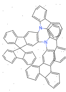 c1ccc(-c2ccccc2N(c2ccc3c4ccccc4c4ccccc4c3c2)c2cc3c(cc2-n2c4ccccc4c4ccccc42)-c2ccccc2C32c3ccccc3-c3ccccc32)cc1